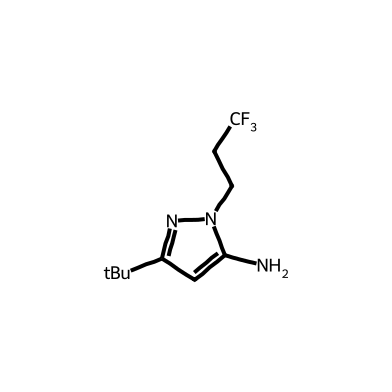 CC(C)(C)c1cc(N)n(CCC(F)(F)F)n1